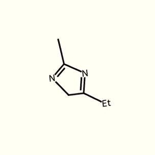 CCC1=NC(C)=NC1